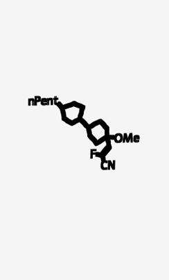 CCCCCC1CCC(C2CCC(C=C(F)C#N)(OC)CC2)CC1